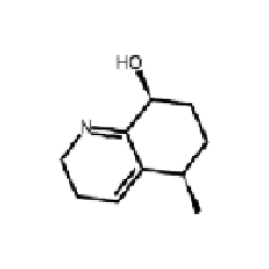 C[C@@H]1CC[C@H](O)C2=NCCC=C21